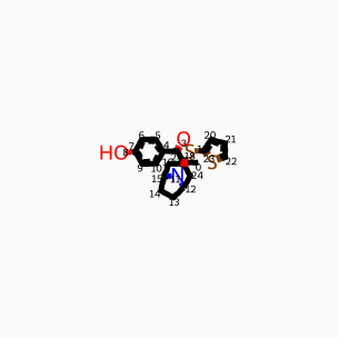 CC(C(=O)c1ccc(O)cc1)N1C2CCC1CC(Sc1cccs1)C2